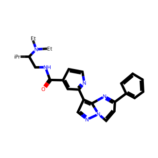 CCN(CC)C(CNC(=O)c1ccnc(-c2cnn3ccc(-c4ccccc4)nc23)c1)C(C)C